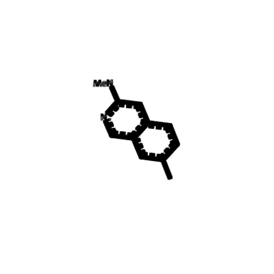 CNc1cc2ccc(C)cc2cn1